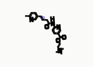 Cc1ccc(/C=C/CC(=O)Nc2ccc(C(=O)OCC[Si](C)(C)C)cn2)cn1